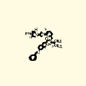 CCOC(CN(Cc1ccc(F)c(N2CC(N3C[C@@H]4C[C@H]3CN4C(C)C)C2)n1)C(=O)[C@@H](N)Cc1ccc(OCc2ccccc2)cc1F)OCC